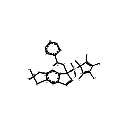 CC1=C(C)[C](C)([Hf]([CH3])([CH3])[C]2(CC(C)c3ccccc3)C=Cc3cc4c(cc32)CC(C)(C)C4)C(C)=C1C